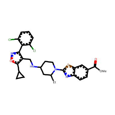 CCC1CC(NCc2c(-c3c(Cl)cccc3Cl)noc2C2CC2)CCN1c1nc2ccc(C(=O)OC)cc2s1